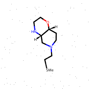 CSCCN1CC[C@H]2OCCN[C@H]2C1